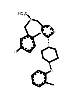 O=C(O)N1Cc2cc(Cl)ccc2-n2c(nnc2[C@H]2CC[C@H](Oc3ccccc3F)CC2)C1